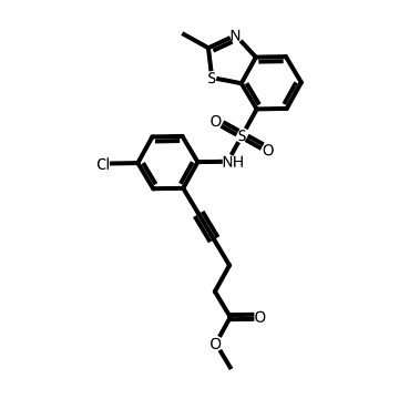 COC(=O)CCC#Cc1cc(Cl)ccc1NS(=O)(=O)c1cccc2nc(C)sc12